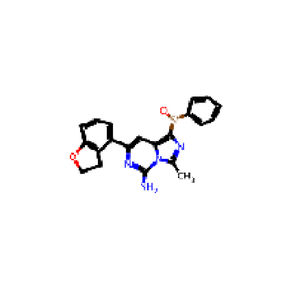 Cc1nc([S+]([O-])c2ccccc2)c2cc(-c3cccc4c3CCO4)nc(N)n12